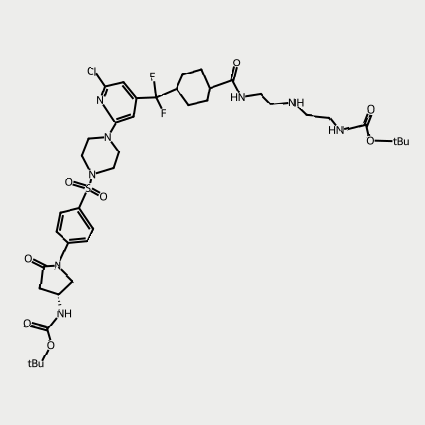 CC(C)(C)OC(=O)NCCNCCNC(=O)C1CCC(C(F)(F)c2cc(Cl)nc(N3CCN(S(=O)(=O)c4ccc(N5C[C@H](NC(=O)OC(C)(C)C)CC5=O)cc4)CC3)c2)CC1